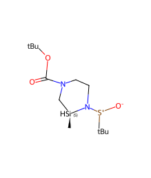 C[Si@H]1CN(C(=O)OC(C)(C)C)CCN1[S+]([O-])C(C)(C)C